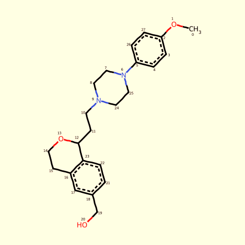 COc1ccc(N2CCN(CCC3OCCc4cc(CO)ccc43)CC2)cc1